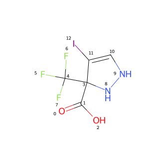 O=C(O)C1(C(F)(F)F)NNC=C1I